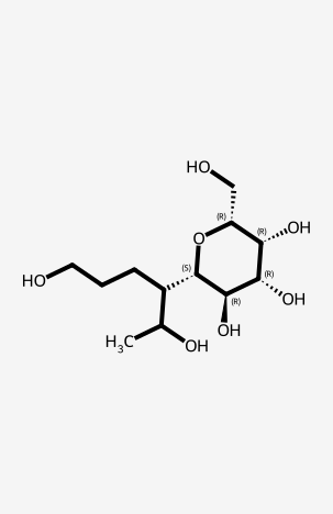 CC(O)C(CCCO)[C@@H]1O[C@H](CO)[C@H](O)[C@H](O)[C@H]1O